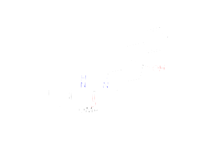 COc1ccc(C)cc1NC(=O)N1CC2CC(O)(c3ccccc3C)CC2C1